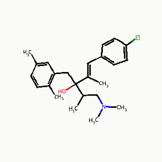 CC(=Cc1ccc(Cl)cc1)C(O)(Cc1cc(C)ccc1C)C(C)CN(C)C